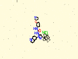 CC(C)(C)c1cc(NC(=O)Nc2cccc(Oc3cccnc3)c2)n(-c2ccc3ncccc3c2)n1.Cl